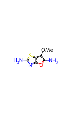 COc1c(N)oc2nc(N)sc12